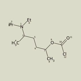 CCN(C(C)C)C(C)CCC(C)OC(=O)Cl